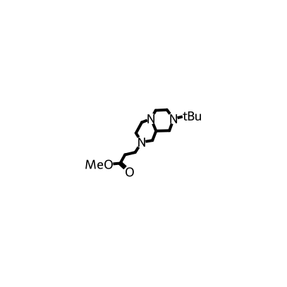 COC(=O)CCN1CCN2CCN(C(C)(C)C)CC2C1